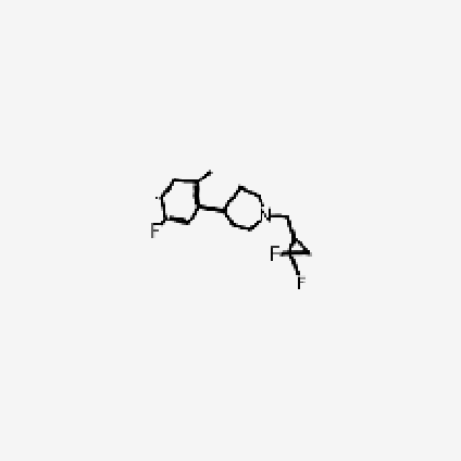 CC1=C(C2CCN(CC3CC3(F)F)CC2)C=C(F)[CH]C1